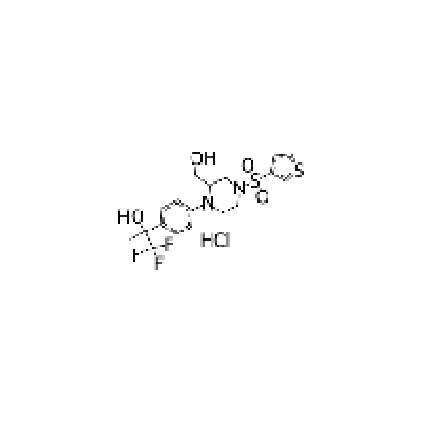 CC(O)(c1ccc(N2CCN(S(=O)(=O)c3ccsc3)CC2CO)cc1)C(F)(F)F.Cl